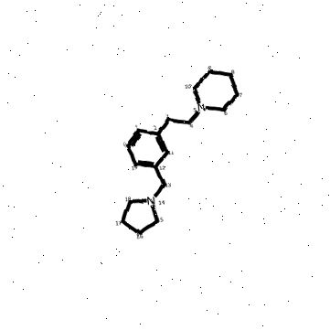 c1cc(CCN2CCCCC2)cc(CN2CCCC2)c1